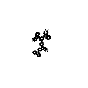 c1ccc2c(c1)c1ccccc1n2-c1ccc2c(c1)c1cnccc1n2-c1ccc(-c2cc(-n3c4ccccc4c4cnccc43)cc(-n3c4ccccc4c4cnccc43)c2)cc1